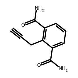 C#CCc1c(C(N)=O)cccc1C(N)=O